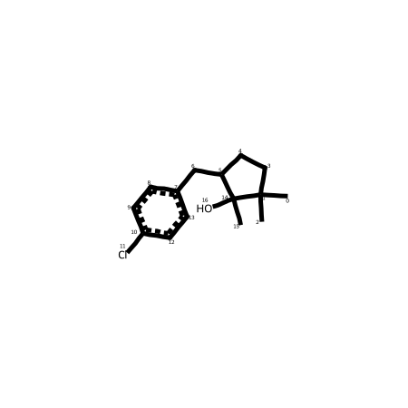 CC1(C)CCC(Cc2ccc(Cl)cc2)C1(C)O